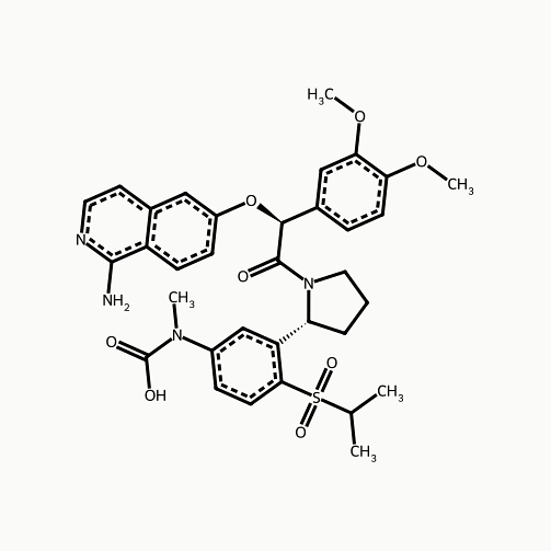 COc1ccc([C@H](Oc2ccc3c(N)nccc3c2)C(=O)N2CCC[C@@H]2c2cc(N(C)C(=O)O)ccc2S(=O)(=O)C(C)C)cc1OC